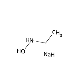 CCNO.[NaH]